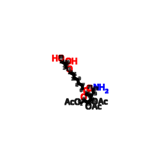 CC(=O)OC[C@H]1O[C@@H](OCCCCCCCOC[C@@H](O)CO)[C@H](CC(N)=O)[C@@H](OC(C)=O)[C@H]1OC(C)=O